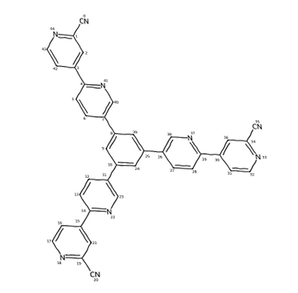 N#Cc1cc(-c2ccc(-c3cc(-c4ccc(-c5ccnc(C#N)c5)nc4)cc(-c4ccc(-c5ccnc(C#N)c5)nc4)c3)cn2)ccn1